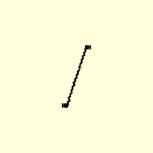 SCCCCCCCCC/C=C/CCCCCCCCCCCCCCCCCCCS